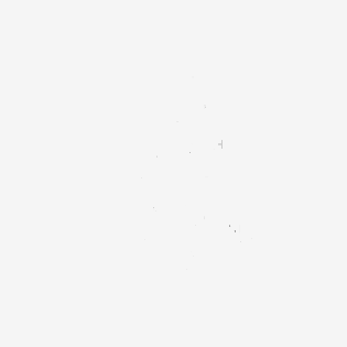 C=CCC1=CCC(O)(CC=C)C=C1C(N)=O